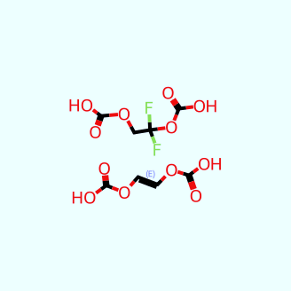 O=C(O)O/C=C/OC(=O)O.O=C(O)OCC(F)(F)OC(=O)O